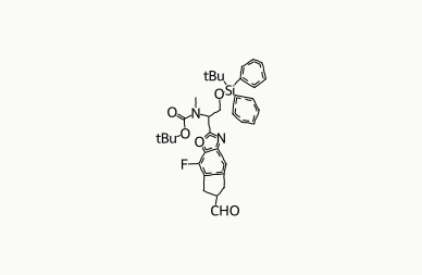 CN(C(=O)OC(C)(C)C)C(CO[Si](c1ccccc1)(c1ccccc1)C(C)(C)C)c1nc2cc3c(c(F)c2o1)CC(C=O)C3